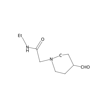 CCNC(=O)CN1CCC(C=O)CC1